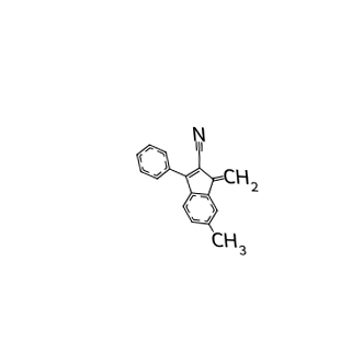 C=C1C(C#N)=C(c2ccccc2)c2ccc(C)cc21